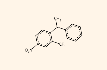 CN(c1ccccc1)c1ccc([N+](=O)[O-])cc1C(F)(F)F